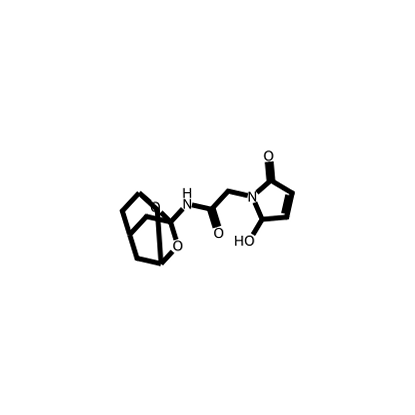 O=C(CN1C(=O)C=CC1O)NC12CC3CC(CC(C3)O1)O2